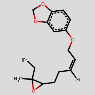 CCC(=CCOc1ccc2c(c1)OCO2)CCC1OC1(C)CC(C)C